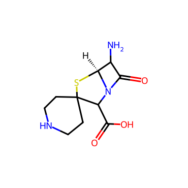 NC1C(=O)N2C(C(=O)O)C3(CCNCC3)S[C@@H]12